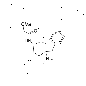 COCC(=O)NC1CCC(Cc2ccccc2)(N(C)C)CC1